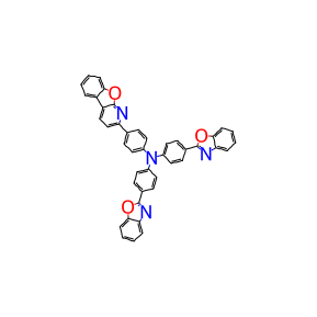 c1ccc2oc(-c3ccc(N(c4ccc(-c5ccc6c(n5)oc5ccccc56)cc4)c4ccc(-c5nc6ccccc6o5)cc4)cc3)nc2c1